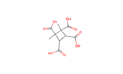 CC1(C(=O)O)C(C(=O)O)C(C(=O)O)C1(C)C(=O)O